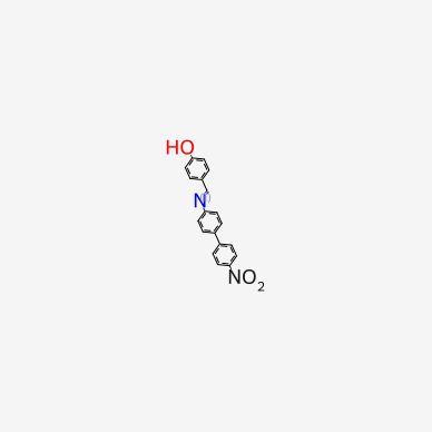 O=[N+]([O-])c1ccc(-c2ccc(/N=C/c3ccc(O)cc3)cc2)cc1